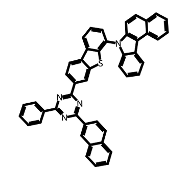 c1ccc(-c2nc(-c3ccc4ccccc4c3)nc(-c3ccc4c(c3)sc3c(-n5c6ccccc6c6c7ccccc7ccc65)cccc34)n2)cc1